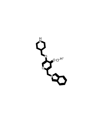 O=c1cc(Cn2cc3ccccc3c2)occ1OCC1CCNCC1.[Cl-].[H+]